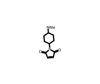 CNC1CCC(N2C(=O)C=CC2=O)CC1